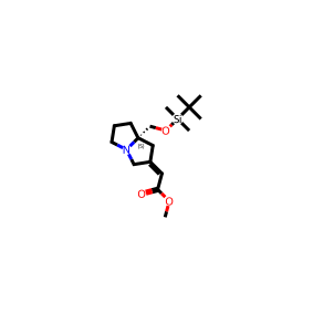 COC(=O)C=C1CN2CCC[C@@]2(CO[Si](C)(C)C(C)(C)C)C1